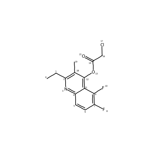 CCc1nc2ccc(F)c(F)c2c(OC(=O)CCl)c1C